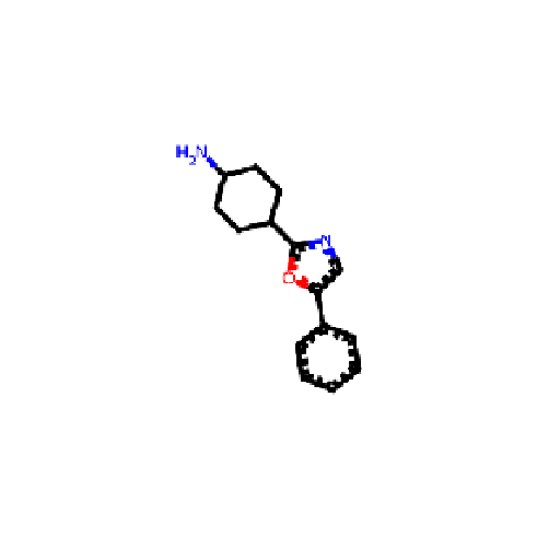 NC1CCC(c2ncc(-c3ccccc3)o2)CC1